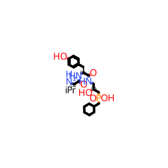 CC(C)[C@H](N)C(=O)N[C@@H](Cc1ccc(O)cc1)C(=O)NC[C@H](O)CP(=O)(O)CC1CCCCC1